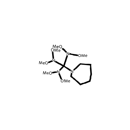 CON(OC)C(N1CCCCCC1)(N(OC)OC)N(OC)OC